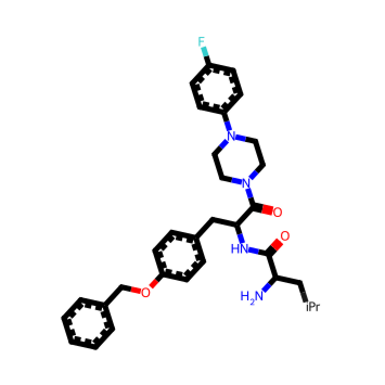 CC(C)CC(N)C(=O)NC(Cc1ccc(OCc2ccccc2)cc1)C(=O)N1CCN(c2ccc(F)cc2)CC1